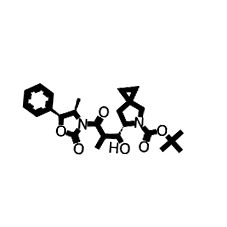 CC(C(=O)N1C(=O)O[C@@H](c2ccccc2)[C@H]1C)C(O)[C@@H]1CC2(CC2)CN1C(=O)OC(C)(C)C